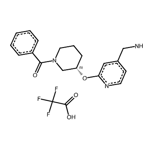 NCc1ccnc(O[C@H]2CCCN(C(=O)c3ccccc3)C2)c1.O=C(O)C(F)(F)F